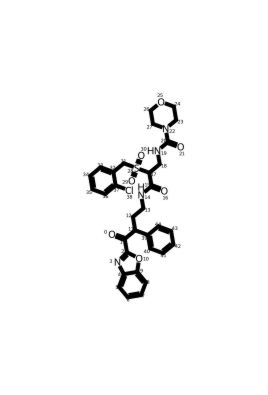 O=C(c1nc2ccccc2o1)C(CCNC(=O)C(CNC(=O)N1CCOCC1)S(=O)(=O)Cc1ccccc1Cl)c1ccccc1